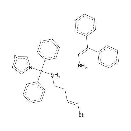 BC=C(c1ccccc1)c1ccccc1.CCC=CCC[SiH2]C(c1ccccc1)(c1ccccc1)n1ccnc1